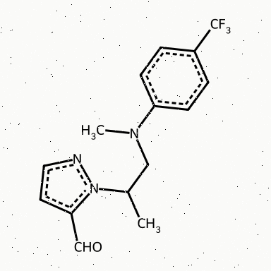 CC(CN(C)c1ccc(C(F)(F)F)cc1)n1nccc1C=O